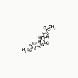 COC(=O)c1cnc2c(c1)[nH]c1nc(Cc3cccc(OC)c3)nc(Cl)c12